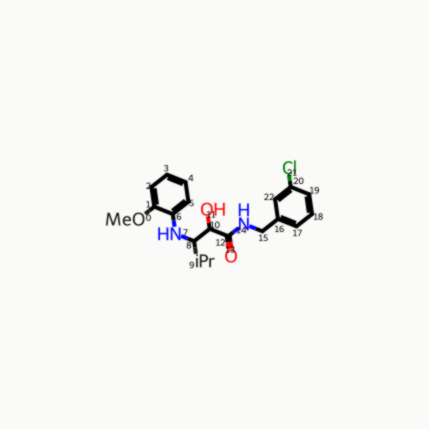 COc1ccccc1NC(C(C)C)C(O)C(=O)NCc1cccc(Cl)c1